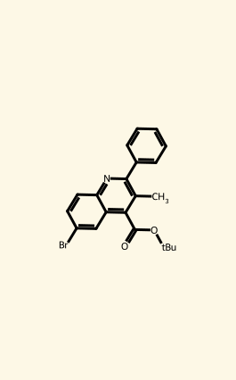 Cc1c(-c2ccccc2)nc2ccc(Br)cc2c1C(=O)OC(C)(C)C